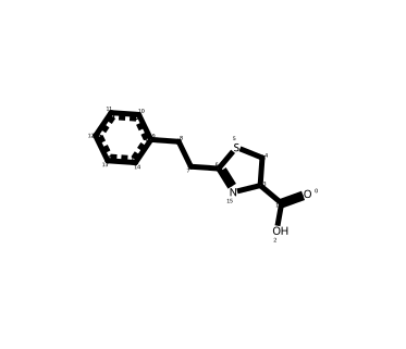 O=C(O)C1CSC(CCc2ccccc2)=N1